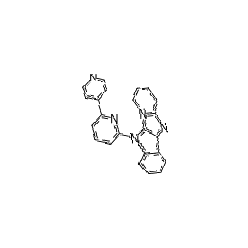 c1cc(-c2ccncc2)nc(-n2c3ccccc3c3nc4ccccn4c32)c1